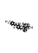 [2H]N(C(=O)c1ccc(C)cc1)c1ccc(Cc2nc(N(C)C)c(C([2H])([2H])C(=O)O)c3nccn23)cc1